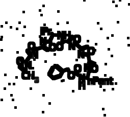 CCCCCC(NC(=O)OCc1ccccc1)c1nc(-c2nc(-c3nc(C(=O)NC(c4nc(-c5nc(-c6nc(C)co6)co5)co4)C(C)C)co3)co2)co1